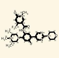 C[C@@H]1CN(c2cc(F)c(-c3cnc(N4CCOCC4)nc3)cc2NC(=O)c2cn(C)c(=O)cc2C(F)(F)F)C[C@H](C)N1C